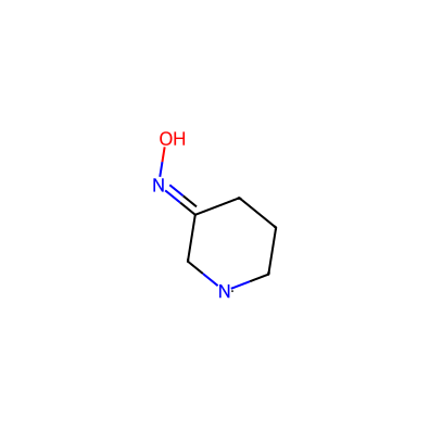 ON=C1CCC[N]C1